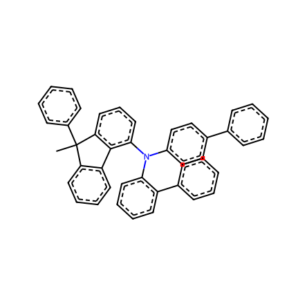 CC1(c2ccccc2)c2ccccc2-c2c(N(c3ccc(-c4ccccc4)cc3)c3ccccc3-c3ccccc3)cccc21